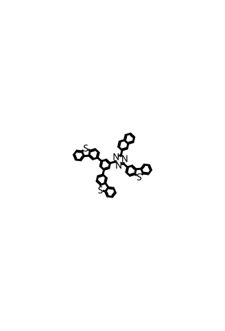 c1ccc2cc(-c3nc(-c4cc(-c5ccc6sc7ccccc7c6c5)cc(-c5ccc6sc7ccccc7c6c5)c4)nc(-c4ccc5sc6ccccc6c5c4)n3)ccc2c1